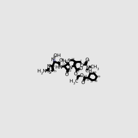 CC(OC(=O)C1=C(COC(=O)N(C)C)CS[C@H]2C(NC(=O)/C(=N\O)c3csc(N)n3)C(=O)N12)OC(=O)C1CCCCC1